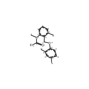 CCC(=O)N(C)c1cccc(C)c1COc1ccc(C)cc1C